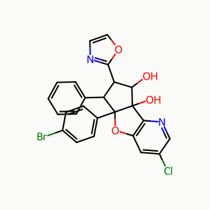 OC1C(c2ncco2)C(c2ccccc2)C2(c3ccc(Br)cc3)Oc3cc(Cl)cnc3C12O